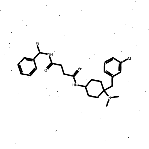 CCC(NC(=O)CCC(=O)NC1CCC(Cc2cccc(Cl)c2)(N(C)C)CC1)c1ccccc1